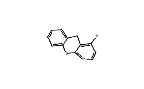 Fc1cccc2c1Cc1ccccc1S2